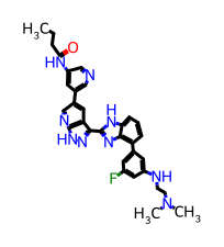 CCCC(=O)Nc1cncc(-c2cnc3[nH]nc(-c4nc5c(-c6cc(F)cc(NCCN(C)C)c6)cccc5[nH]4)c3c2)c1